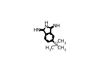 C[Si](C)(C)c1ccc2c(c1)C(=N)NC2=N